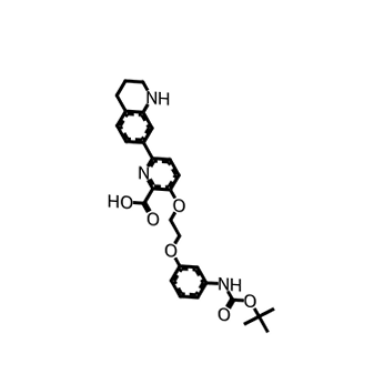 CC(C)(C)OC(=O)Nc1cccc(OCCOc2ccc(-c3ccc4c(c3)NCCC4)nc2C(=O)O)c1